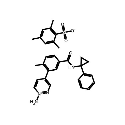 Cc1cc(C)c(S(=O)(=O)[O-])c(C)c1.Cc1ccc(C(=O)NC2(c3ccccc3)CC2)cc1-c1cc[n+](N)nc1